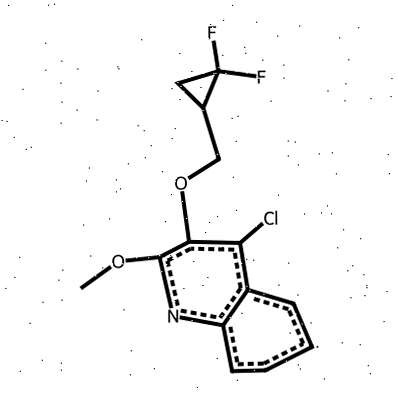 COc1nc2cc[c]cc2c(Cl)c1OCC1CC1(F)F